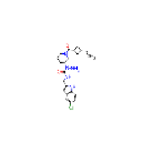 C=CC1CC(C(=O)N2CCC[C@@H](N(N)C(=O)NCc3cc4cc(Cl)ccc4[nH]3)C2)C1